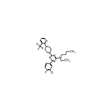 CCCCN(CC)c1nc(-c2ccc(F)c(Cl)c2)nc(N2CCN(c3ncccc3C(F)(F)F)CC2)n1